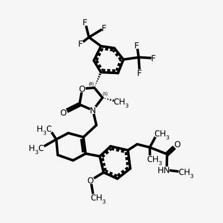 CNC(=O)C(C)(C)Cc1ccc(OC)c(C2=C(CN3C(=O)O[C@H](c4cc(C(F)(F)F)cc(C(F)(F)F)c4)[C@@H]3C)CC(C)(C)CC2)c1